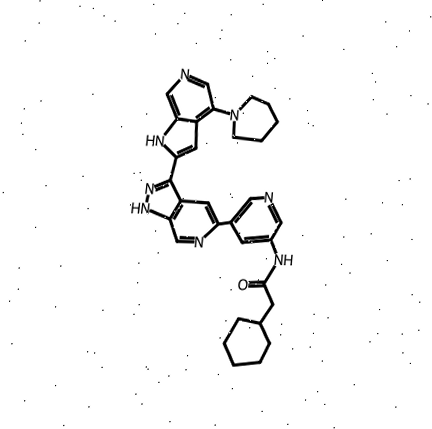 O=C(CC1CCCCC1)Nc1cncc(-c2cc3c(-c4cc5c(N6CCCCC6)cncc5[nH]4)n[nH]c3cn2)c1